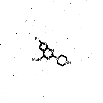 CCc1cc2c(NC)nc(N3CCNCC3)nc2s1